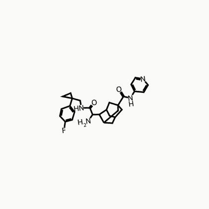 NC(C(=O)NCC1(c2ccc(F)cc2)CC1)C1C2CC3CC1CC(C(=O)Nc1ccncc1)(C3)C2